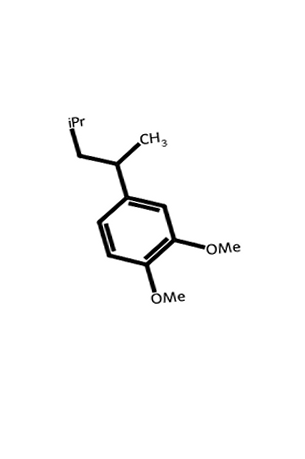 COc1ccc(C(C)CC(C)C)cc1OC